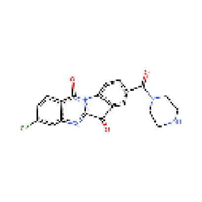 O=C1c2cc(C(=O)N3CCNCC3)ccc2-n2c1nc1cc(Cl)ccc1c2=O